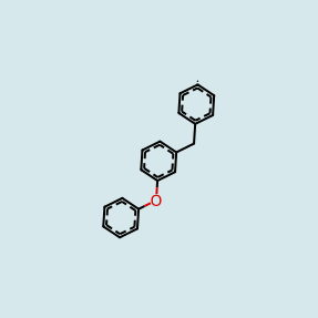 [c]1ccc(Cc2cccc(Oc3ccccc3)c2)cc1